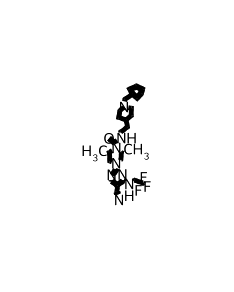 C[C@@H]1CN(c2ncc(C#N)c(NCC(F)(F)F)n2)C[C@H](C)N1C(=O)NCCC1CCN(Cc2ccccc2)CC1